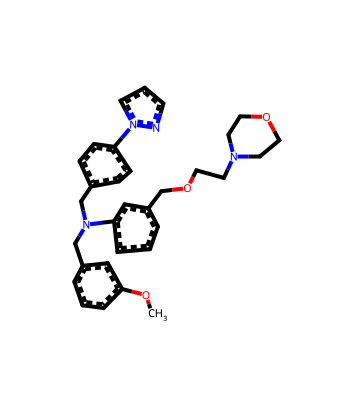 COc1cccc(CN(Cc2ccc(-n3cccn3)cc2)c2cccc(COCCN3CCOCC3)c2)c1